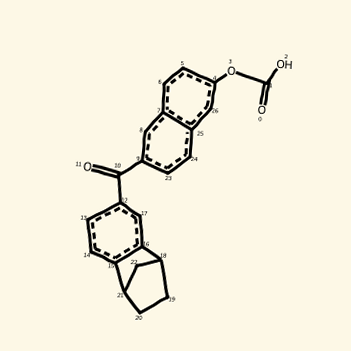 O=C(O)Oc1ccc2cc(C(=O)c3ccc4c(c3)C3CCC4C3)ccc2c1